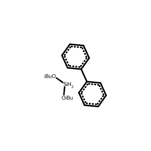 CC(C)CO[SiH2]OCC(C)C.c1ccc(-c2ccccc2)cc1